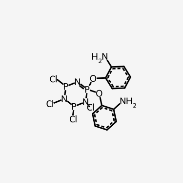 Nc1ccccc1OP1(Oc2ccccc2N)=NP(Cl)N(Cl)P(Cl)N1Cl